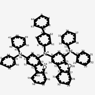 c1ccc(-c2ccc(N(c3cc(N(c4ccccc4)c4ccccc4)c4oc5ccccc5c4c3)c3cc(N(c4ccccc4)c4ccccc4)cc4c3oc3ccccc34)cc2)cc1